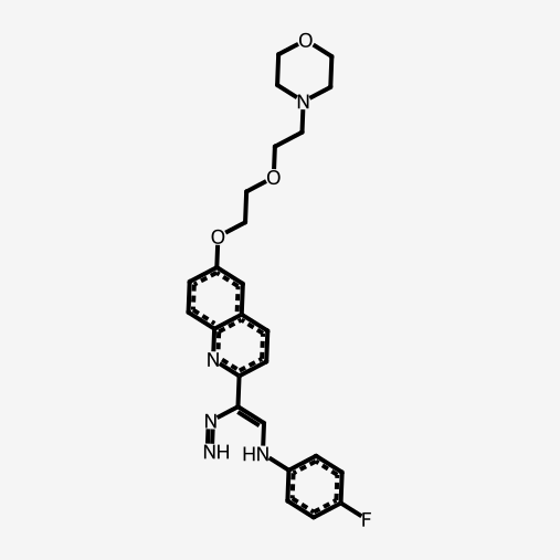 N=N/C(=C\Nc1ccc(F)cc1)c1ccc2cc(OCCOCCN3CCOCC3)ccc2n1